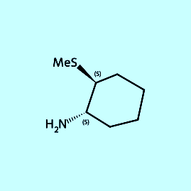 CS[C@H]1CCCC[C@@H]1N